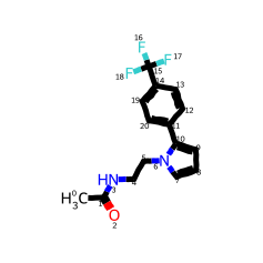 CC(=O)NCCn1cccc1-c1ccc(C(F)(F)F)cc1